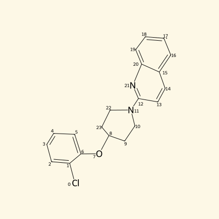 Clc1ccccc1OC1CCN(c2ccc3c[c]ccc3n2)CC1